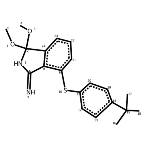 COC1(OC)NC(=N)c2c(Sc3ccc(C(C)(C)C)cc3)cccc21